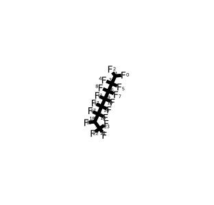 FC(F)C(F)(F)C(F)(F)C(F)(F)C(F)(F)C(F)(F)C(F)C(F)(F)F